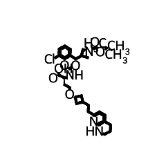 CC(C)(C)OC(=O)N1CC(C(OC(=O)N[C@@H](CCOC2CC(CCc3ccc4c(n3)NCCC4)C2)C(=O)O)c2cccc(Cl)c2)C1